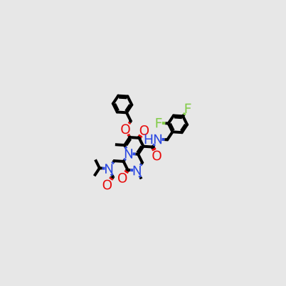 Cc1c(OCc2ccccc2)c(=O)c(C(=O)NCc2ccc(F)cc2F)c2n1C(CN(C=O)C(C)C)C(=O)N(C)C2